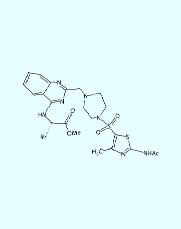 COC(=O)[C@@H](Nc1nc(CN2CCN(S(=O)(=O)c3sc(NC(C)=O)nc3C)CC2)nc2ccccc12)C(C)C